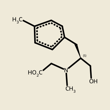 Cc1ccc(C[C@@H](CO)N(C)CC(=O)O)cc1